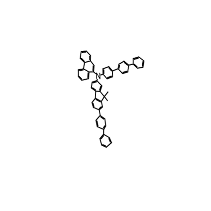 CC1(C)c2cc(-c3ccc(-c4ccccc4)cc3)ccc2-c2ccc(N(c3ccc(-c4ccc(-c5ccccc5)cc4)cc3)c3cc4ccccc4c4ccccc34)cc21